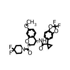 COc1ccc2c(c1)O[C@@H](C(=O)N1CCC(F)(F)CC1)C[C@H]2NC(=O)C1(c2ccc3c(c2)OC(F)(F)O3)CC1